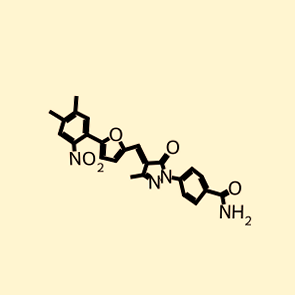 CC1=NN(c2ccc(C(N)=O)cc2)C(=O)/C1=C/c1ccc(-c2cc(C)c(C)cc2[N+](=O)[O-])o1